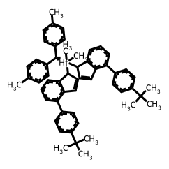 Cc1ccc([C](c2ccc(C)cc2)=[Hf]([CH3])([CH3])([CH]2C=Cc3c(-c4ccc(C(C)(C)C)cc4)cccc32)[CH]2C=Cc3c(-c4ccc(C(C)(C)C)cc4)cccc32)cc1